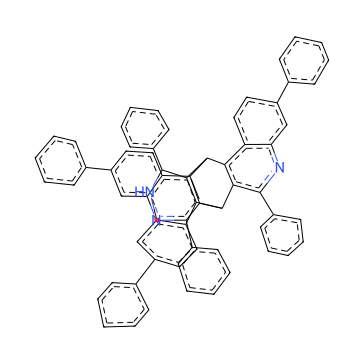 c1ccc(-c2ccc3c(c2)NC(c2ccccc2)C2=C3C3c4c(-c5ccccc5)nc5cc(-c6ccccc6)ccc5c4C2c2c3c(-c3ccccc3)nc3cc(-c4ccccc4)ccc23)cc1